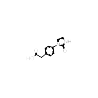 O=C(O)Cc1ccc(-n2cc[nH]c2=O)cc1